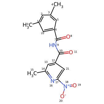 Cc1cc(C)cc(C(=O)NC(=O)c2cc(C)nc([N+](=O)[O-])c2)c1